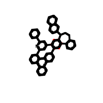 c1ccc(-c2cc(-c3ccccc3)nc(-c3cccc4c5ccccc5c5ccc(-c6ccc7c(c6)-c6ccccc6CCC7c6ccc7ccccc7c6)cc5c34)c2)cc1